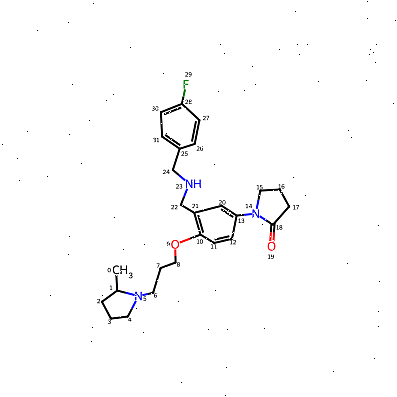 CC1CCCN1CCCOc1ccc(N2CCCC2=O)cc1CNCc1ccc(F)cc1